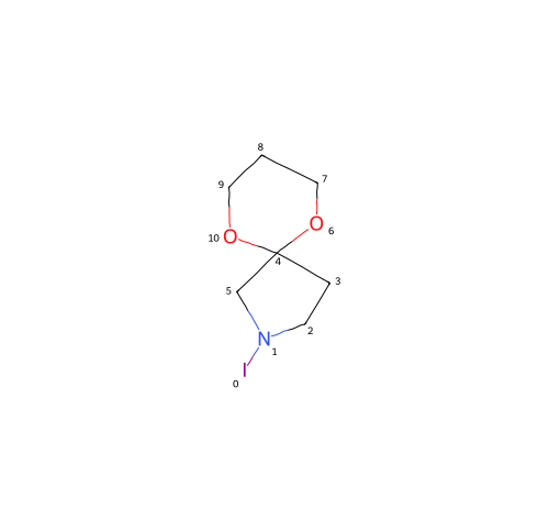 IN1CCC2(C1)OCCCO2